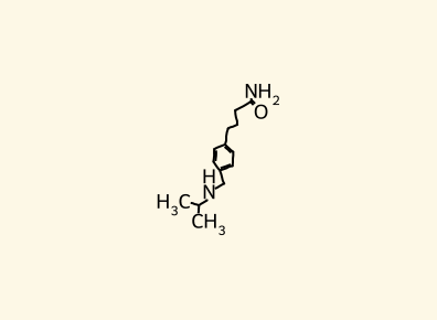 CC(C)CNCc1ccc(CCCC(N)=O)cc1